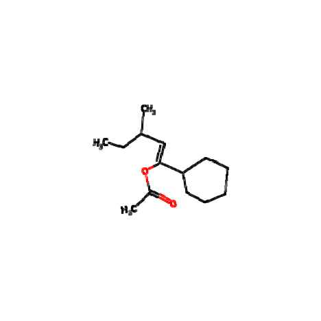 CCC(C)C=C(OC(C)=O)C1CCCCC1